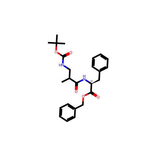 CC(CNC(=O)OC(C)(C)C)C(=O)N[C@@H](Cc1ccccc1)C(=O)OCc1ccccc1